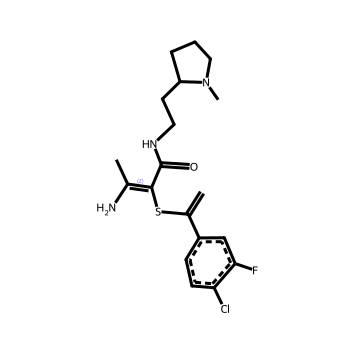 C=C(S/C(C(=O)NCCC1CCCN1C)=C(/C)N)c1ccc(Cl)c(F)c1